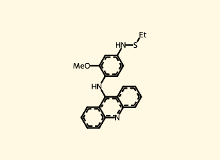 CCSNc1ccc(Nc2c3ccccc3nc3ccccc23)c(OC)c1